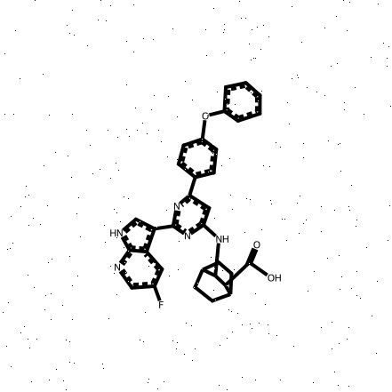 O=C(O)C1C2CCC(CC2)C1Nc1cc(-c2ccc(Oc3ccccc3)cc2)nc(-c2c[nH]c3ncc(F)cc23)n1